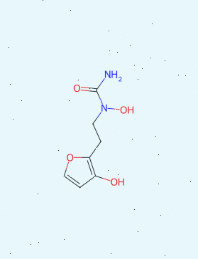 NC(=O)N(O)CCc1occc1O